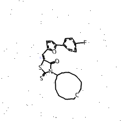 O=C1/C(=C\c2ccc(-c3ccc(F)cc3)o2)SC(=S)N1C1CCCCCCCCCCC1